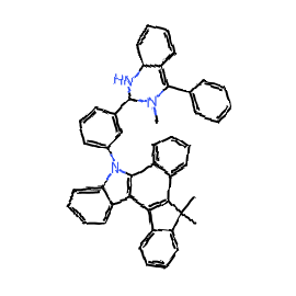 CN1C(c2ccccc2)=C2C=CC=CC2NC1c1cccc(-n2c3ccccc3c3c4c(c5ccccc5c32)C(C)(C)c2ccccc2-4)c1